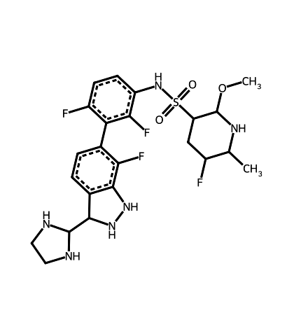 COC1NC(C)C(F)CC1S(=O)(=O)Nc1ccc(F)c(-c2ccc3c(c2F)NNC3C2NCCN2)c1F